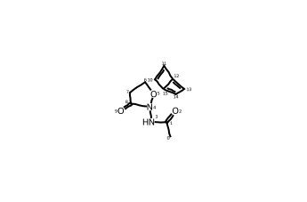 CC(=O)NN1OCCC1=O.c1cc2ccc1-2